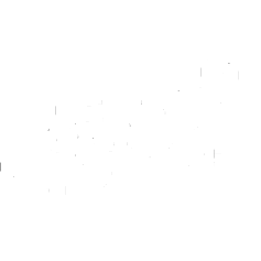 C=C(C)C(=O)OC(OCCCCC(F)(F)C(F)(F)S)(C(=O)OCCCC)C(F)(F)F